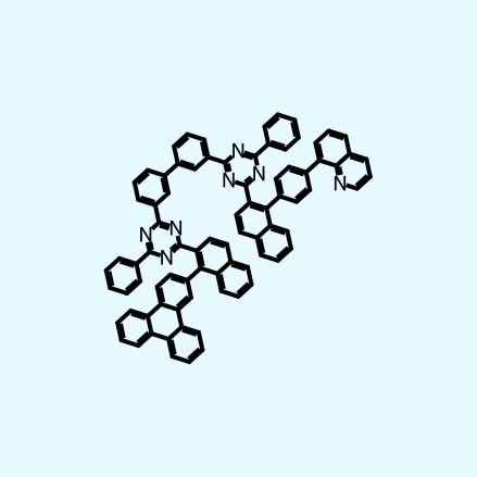 c1ccc(-c2nc(-c3cccc(-c4cccc(-c5nc(-c6ccccc6)nc(-c6ccc7ccccc7c6-c6ccc7c8ccccc8c8ccccc8c7c6)n5)c4)c3)nc(-c3ccc4ccccc4c3-c3ccc(-c4cccc5cccnc45)cc3)n2)cc1